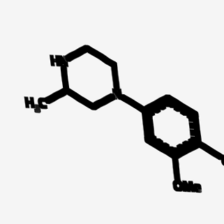 COc1cc(N2CCNC(C)C2)ccc1Cl